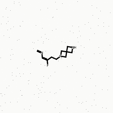 C=N/C=C(/F)CCN1CC2(CNC2)C1